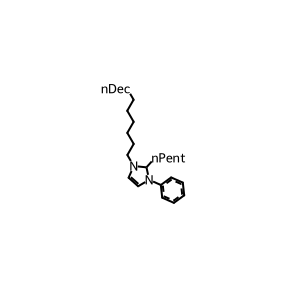 CCCCCCCCCCCCCCCCN1C=CN(c2ccccc2)C1CCCCC